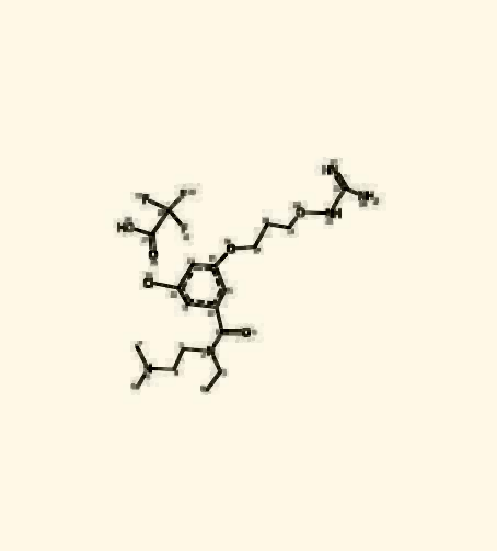 CCN(CCN(C)C)C(=O)c1cc(Cl)cc(OCCCONC(=N)N)c1.O=C(O)C(F)(F)F